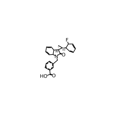 O=C(O)c1cccc(CN2C(=O)[C@@]3(C[C@H]3C3C=CC=CC3F)C3C=CC=CC32)c1